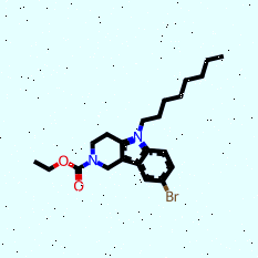 CCCCCCCCn1c2c(c3cc(Br)ccc31)CN(C(=O)OCC)CC2